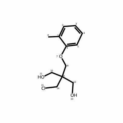 Cc1ccccc1OCC(CO)(CO)CCl